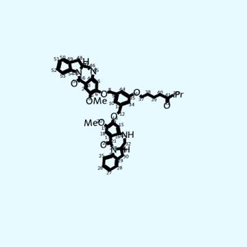 COc1cc2c(cc1OCc1cc(COc3cc4c(cc3OC)C(=O)N3c5ccccc5C[C@H]3CN4)cc(OCCCCC(=O)C(C)C)c1)N=C[C@@H]1Cc3ccccc3N1C2=O